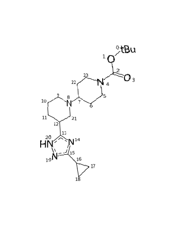 CC(C)(C)OC(=O)N1CCC(N2CCCC(c3nc(C4CC4)n[nH]3)C2)CC1